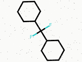 FC(F)(C1CCCCC1)C1CCCCC1